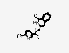 O=C(OC[C@@H]1Cc2ccccc2C(=O)N1)c1ccc(Cl)nc1